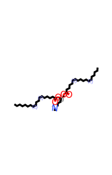 CCCCC/C=C\CCCC/C=C\CCCCC(=O)OC[C@H](CCCN(C)C)OC(=O)CCCC/C=C\CC/C=C\CCCCCCC